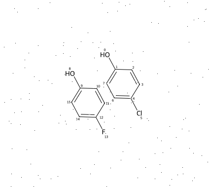 Oc1ccc(Cl)cc1.Oc1ccc(F)cc1